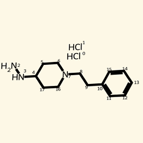 Cl.Cl.NNC1CCN(CCc2ccccc2)CC1